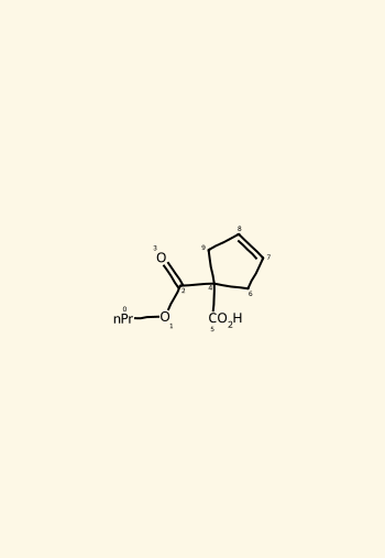 CCCOC(=O)C1(C(=O)O)CC=CC1